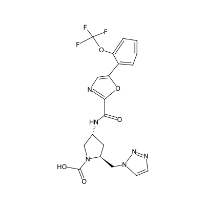 O=C(N[C@@H]1C[C@@H](Cn2ccnn2)N(C(=O)O)C1)c1ncc(-c2ccccc2OC(F)(F)F)o1